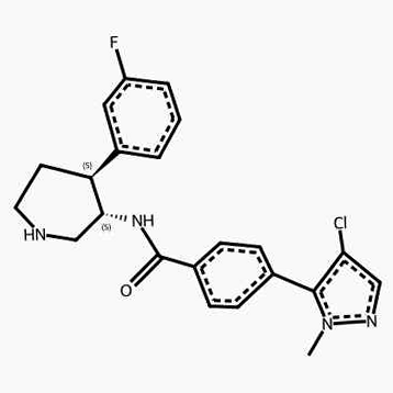 Cn1ncc(Cl)c1-c1ccc(C(=O)N[C@@H]2CNCC[C@H]2c2cccc(F)c2)cc1